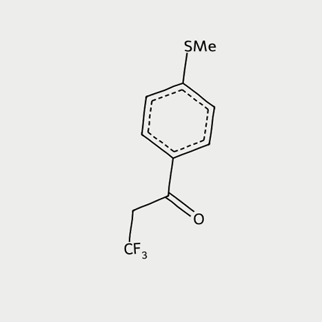 CSc1ccc(C(=O)CC(F)(F)F)cc1